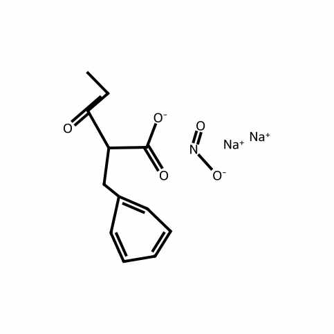 CCC(=O)C(Cc1ccccc1)C(=O)[O-].O=N[O-].[Na+].[Na+]